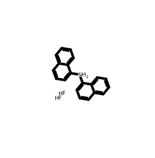 F.F.c1ccc2c([SiH2]c3cccc4ccccc34)cccc2c1